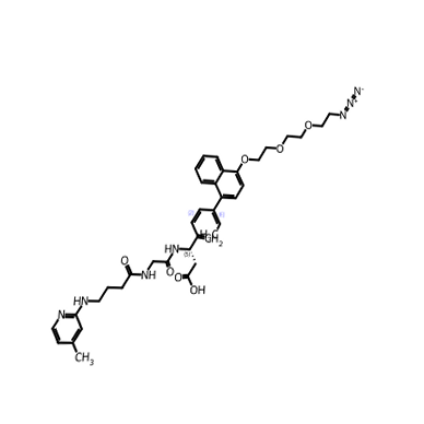 C=C(/C=C\C(=C/C)c1ccc(OCCOCCOCCN=[N+]=[N-])c2ccccc12)[C@H](CC(=O)O)NC(=O)CNC(=O)CCCNc1cc(C)ccn1